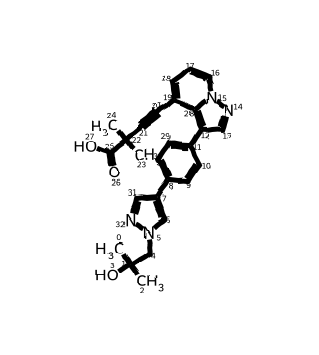 CC(C)(O)Cn1cc(-c2ccc(-c3cnn4cccc(C#CC(C)(C)C(=O)O)c34)cc2)cn1